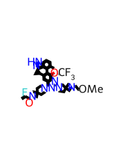 C=C(F)C(=O)N1CC2(CCN(c3nc(N4CCC5(CN(CCOC)C5)C4)nc4c(OCC(F)(F)F)c(-c5c(C)ccc6[nH]ncc56)c(C5CC5)cc34)CC2)C1